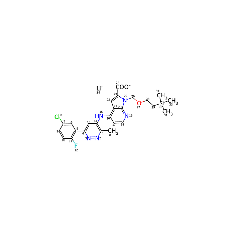 Cc1nnc(-c2cc(Cl)ccc2F)cc1Nc1ccnc2c1cc(C(=O)[O-])n2COCC[Si](C)(C)C.[Li+]